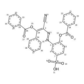 N#CC(/N=N/c1cc(S(=O)(=O)O)ccc1OC(=O)c1ccccc1)=C(\OC(=O)c1ccccc1)c1ccccc1